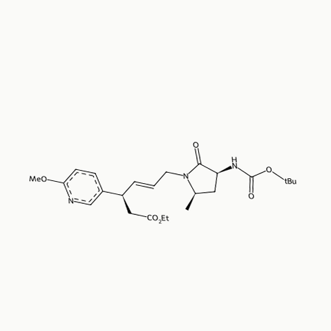 CCOC(=O)C[C@H](C=CCN1C(=O)[C@@H](NC(=O)OC(C)(C)C)C[C@H]1C)c1ccc(OC)nc1